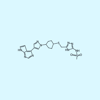 CS(=O)(=O)Nc1nnc(CSC2CCC(n3cc(-c4ncnc5[nH]ccc45)cn3)CC2)[nH]1